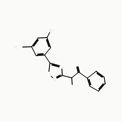 Cc1cc(Br)cc(-c2nc(C(C)C(=O)c3ccccc3)no2)c1